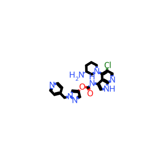 N[C@@H]1CCCN(c2c(Cl)cnc3[nH]cc(NC(=O)Oc4cnn(Cc5ccncc5)c4)c23)C1